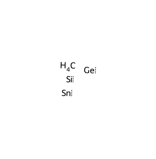 C.[Ge].[Si].[Sn]